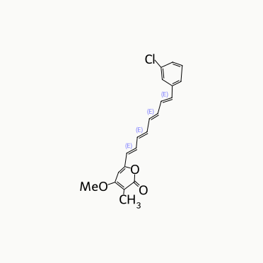 COc1cc(/C=C/C=C/C=C/C=C/c2cccc(Cl)c2)oc(=O)c1C